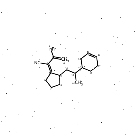 C=C(CCC)/C(C#N)=C1/CCCC1CC(C)C1CC=CCC1